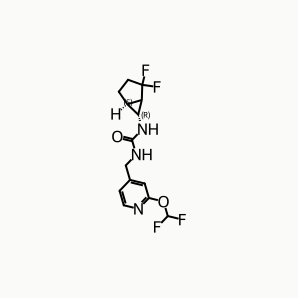 O=C(NCc1ccnc(OC(F)F)c1)N[C@H]1C2[C@@H]1CCC2(F)F